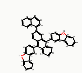 c1ccc2c(-c3ccc4c(-c5ccc6oc7ccccc7c6c5)c5ccccc5c(-c5ccc6oc7ccccc7c6c5)c4c3)cccc2c1